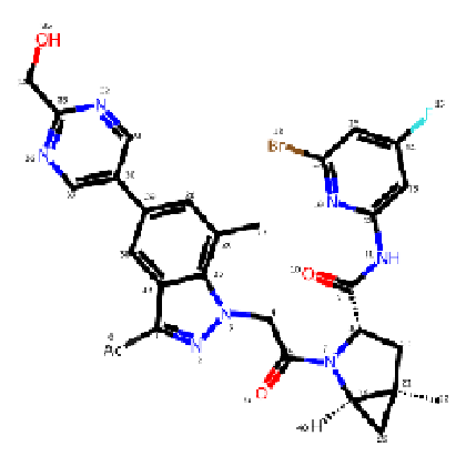 CC(=O)c1nn(CC(=O)N2[C@H](C(=O)Nc3cc(F)cc(Br)n3)C[C@@]3(C)C[C@@H]23)c2c(C)cc(-c3cnc(CO)nc3)cc12